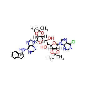 CC1(C)O[C@@H]2[C@H](O1)[C@@H](C(O)C(O)[C@H]1O[C@@H](n3cnc4c(N[C@H]5CCc6ccccc65)ncnc43)[C@@H]3OC(C)(C)O[C@@H]31)O[C@H]2n1cnc2c(Cl)ncnc21